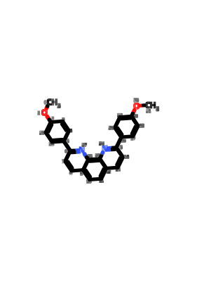 COc1ccc(-c2ccc3ccc4ccc(-c5ccc(OC)cc5)nc4c3n2)cc1